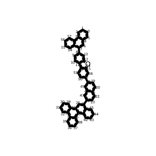 c1ccc2c(c1)cc(-c1ccc3c(c1)oc1cc(-c4ccc5ccc(-c6cc7c8ccccc8c8ccccc8c7c7ccccc67)cc5c4)ccc13)c1ccccc12